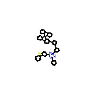 c1ccc(-c2nc(-c3cccc(-c4cccc(-c5ccc6c(c5)C5(c7ccccc7-c7ccccc75)c5ccccc5-6)c4)c3)nc(-c3ccc4sc5ccccc5c4c3)n2)cc1